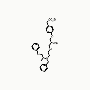 CCOC(=O)Cc1ccc(OCC(O)CNCCN(Cc2ccccc2)C(C)COc2ccccc2)cc1